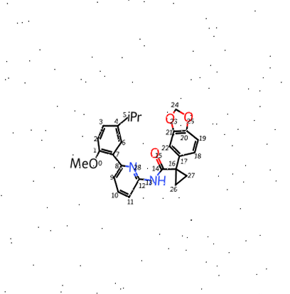 COc1ccc(C(C)C)cc1-c1cccc(NC(=O)C2(c3ccc4c(c3)OCO4)CC2)n1